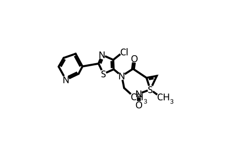 CCN(C(=O)C1=CS1(C)N=O)c1sc(-c2cccnc2)nc1Cl